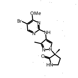 COc1nc(Nc2cn([C@]3(C)CCNC3=O)nc2C)ncc1Br